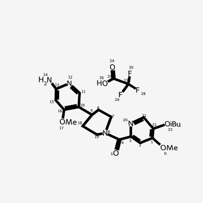 COc1cc(C(=O)N2CCC(c3cnc(N)cc3OC)CC2)ncc1OCC(C)C.O=C(O)C(F)(F)F